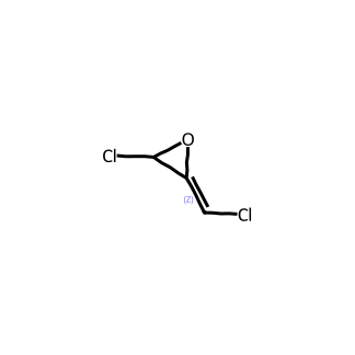 Cl/C=C1\OC1Cl